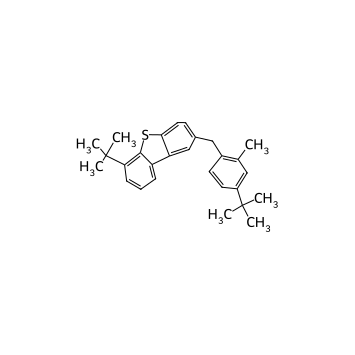 Cc1cc(C(C)(C)C)ccc1Cc1ccc2sc3c(C(C)(C)C)cccc3c2c1